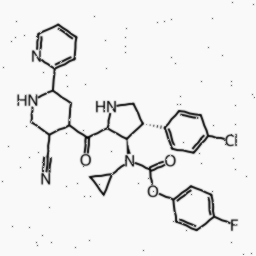 N#CC1CNC(c2ccccn2)CC1C(=O)C1NC[C@H](c2ccc(Cl)cc2)[C@H]1N(C(=O)Oc1ccc(F)cc1)C1CC1